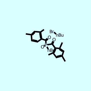 CCCCBr.CCCCP(=O)(C(=O)c1ccc(C)cc1C)C(=O)c1c(C)cc(C)cc1C